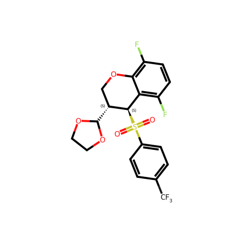 O=S(=O)(c1ccc(C(F)(F)F)cc1)[C@@H]1c2c(F)ccc(F)c2OC[C@H]1C1OCCO1